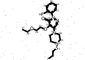 CCCSN1CCN(c2cnn(-c3ccccc3F)c(=O)c2OCCOCC)CC1